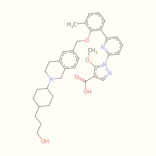 COc1c(C(=O)O)cnn1-c1cccc(-c2cccc(C)c2OCc2ccc3c(c2)CCN(C2CCC(CCCO)CC2)C3)n1